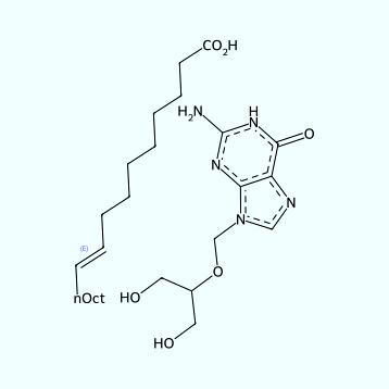 CCCCCCCC/C=C/CCCCCCCC(=O)O.Nc1nc2c(ncn2COC(CO)CO)c(=O)[nH]1